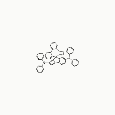 c1ccc(C(c2ccccc2)c2ccc3c(c2)C2(c4ccccc4-c4ccccc4-c4ccccc42)c2cc(N(c4ccccc4)c4ccccc4)ccc2-3)cc1